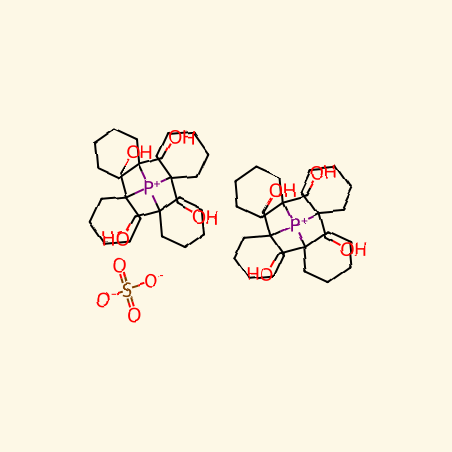 O=S(=O)([O-])[O-].OCC1([P+](C2(CO)CCCCC2)(C2(CO)CCCCC2)C2(CO)CCCCC2)CCCCC1.OCC1([P+](C2(CO)CCCCC2)(C2(CO)CCCCC2)C2(CO)CCCCC2)CCCCC1